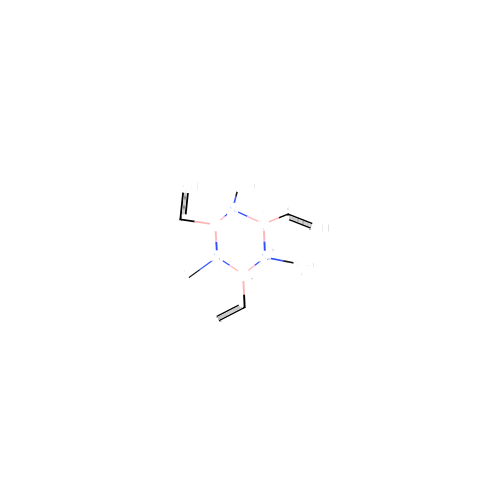 C=CB1N(C(C)(C)C)B(C=C)N(C(C)(C)C)B(C=C)N1C(C)(C)C